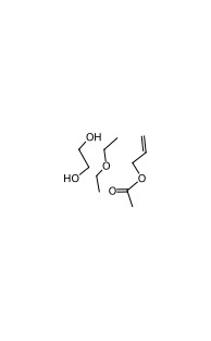 C=CCOC(C)=O.CCOCC.OCCO